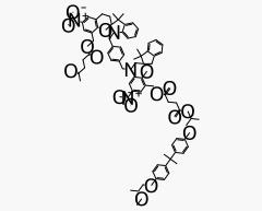 COC(C)COc1ccc(C(C)(C)c2ccc(OCC(C)OC(=O)CCC(=O)OCc3cc([N+](=O)[O-])cc4c3OC3(Cc5ccccc5C3(C)C)CN4Cc3ccc(CN4c5ccccc5C(C)(C)C45CCc4cc([N+](=O)[O-])cc(COC(=O)CCC(C)=O)c4O5)cc3)cc2)cc1